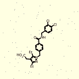 CCc1nn(Cc2ccc(C(=O)NCc3ccc(Cl)c(Cl)c3)cc2)c(CC)c1CC(=O)O